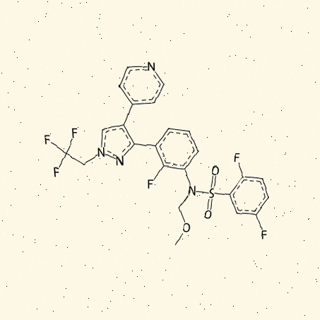 COCN(c1cccc(-c2nn(CC(F)(F)F)cc2-c2ccncc2)c1F)S(=O)(=O)c1cc(F)ccc1F